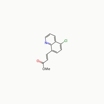 COC(=O)C=Cc1ccc(Cl)c2cccnc12